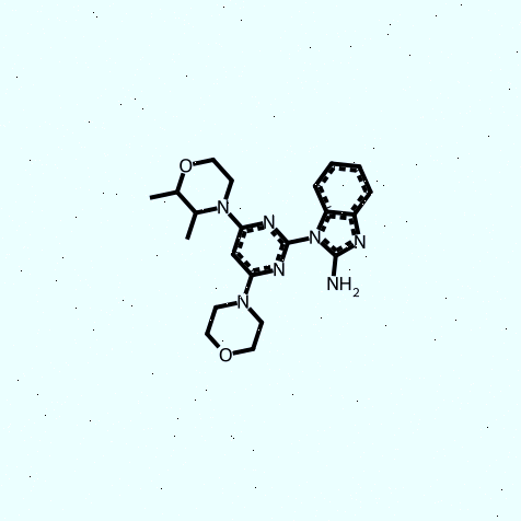 CC1OCCN(c2cc(N3CCOCC3)nc(-n3c(N)nc4ccccc43)n2)C1C